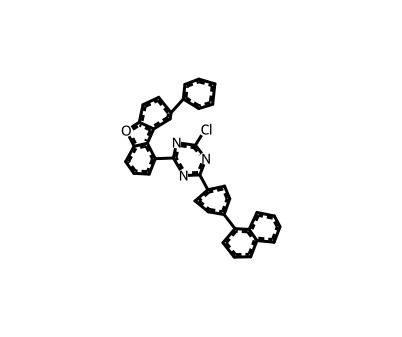 Clc1nc(-c2ccc(-c3cccc4ccccc34)cc2)nc(-c2cccc3oc4ccc(-c5ccccc5)cc4c23)n1